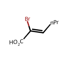 CCCC=C(Br)C(=O)O